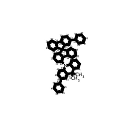 CC1(C)c2ccccc2N(c2cccc3c2-c2ccccc2C32c3ccccc3-c3ccc(-c4ccccc4)cc32)c2ccc(-c3ccccc3)cc21